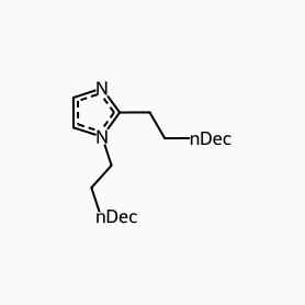 CCCCCCCCCCCCc1nccn1CCCCCCCCCCCC